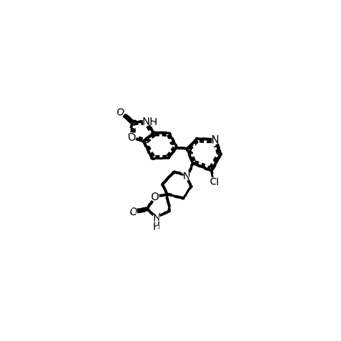 O=C1NCC2(CCN(c3c(Cl)cncc3-c3ccc4oc(=O)[nH]c4c3)CC2)O1